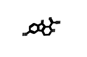 O=C(O)C1NCCc2c1[nH]c1ccc(O)cc21